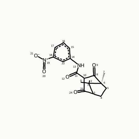 CC1(C)C2CC[C@]1(C)C(=O)C(C(=O)Nc1cccc([N+](=O)[O-])c1)C2=O